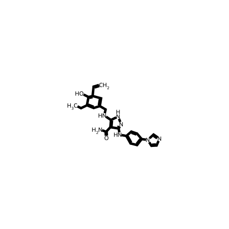 C=Cc1cc(CNc2[nH]nc(Nc3ccc(-n4ccnc4)cc3)c2C(N)=O)cc(CC)c1O